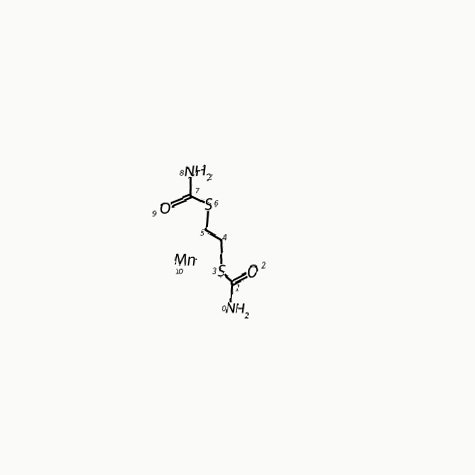 NC(=O)SCCSC(N)=O.[Mn]